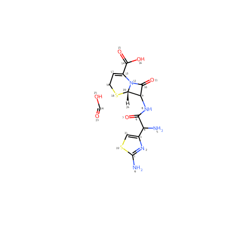 Nc1nc(C(N)C(=O)NC2C(=O)N3C(C(=O)O)=CCS[C@@H]23)cs1.O=CO